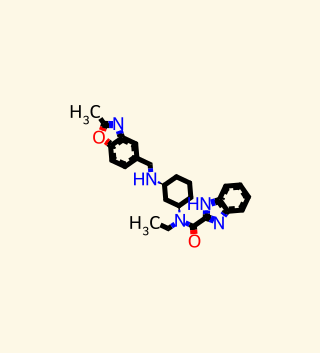 CCN(C(=O)c1nc2ccccc2[nH]1)[C@H]1CCC[C@@H](NCc2ccc3oc(C)nc3c2)C1